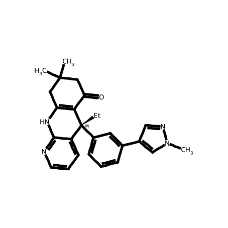 CC[C@]1(c2cccc(-c3cnn(C)c3)c2)C2=C(CC(C)(C)CC2=O)Nc2ncccc21